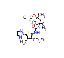 CCOC(=O)c1c(NC(=O)NC(C)(C)CC(C)(C)OC=O)sc(-n2nccn2)c1C